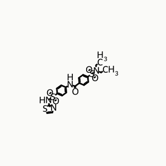 CCN(CC)S(=O)(=O)c1ccc(C(=O)Nc2ccc(S(=O)(=O)Nc3nccs3)cc2)cc1